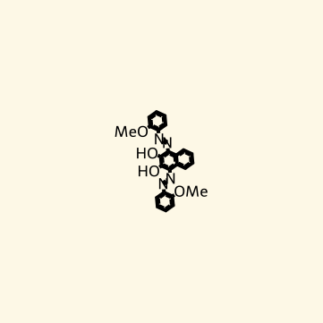 COc1ccccc1N=Nc1c(O)c(O)c(N=Nc2ccccc2OC)c2ccccc12